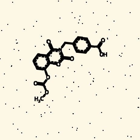 COC(=O)Oc1cccc2c(=O)n(Cc3ccc(C(=O)O)cc3)c(=O)oc12